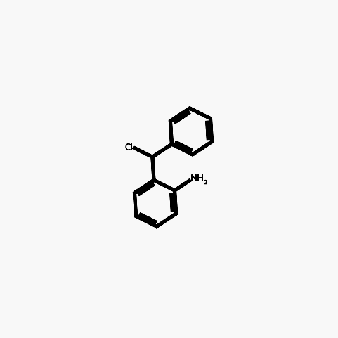 Nc1c[c]ccc1C(Cl)c1ccccc1